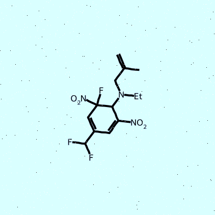 C=C(C)CN(CC)C1C([N+](=O)[O-])=CC(C(F)F)=CC1(F)[N+](=O)[O-]